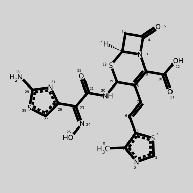 Cc1ncsc1C=CC1=C(C(=O)O)N2C(=O)C[C@@H]2SC1NC(=O)C(=NO)c1csc(N)n1